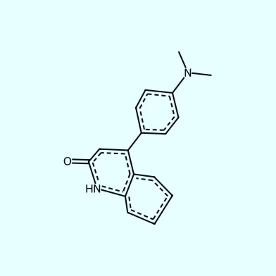 CN(C)c1ccc(-c2cc(=O)[nH]c3ccccc23)cc1